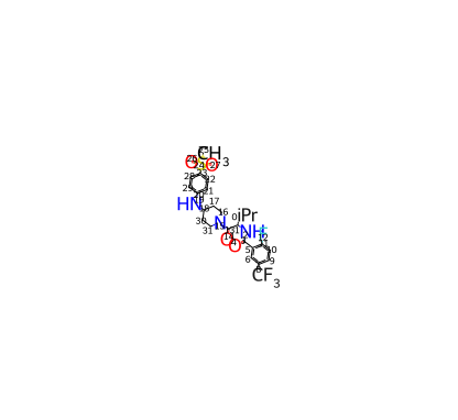 CC(C)C(NC(=O)c1cc(C(F)(F)F)ccc1F)C(=O)N1CCC(Nc2ccc(S(C)(=O)=O)cc2)CC1